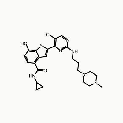 CN1CCN(CCCNc2ncc(Cl)c(-c3cc4c(C(=O)NC5CC5)ccc(O)c4s3)n2)CC1